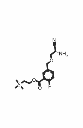 C[Si](C)(C)CCOC(=O)c1cc(COC[C@@H](N)C#N)ccc1F